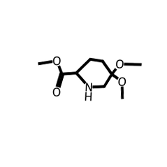 COC(=O)C1CCC(OC)(OC)CN1